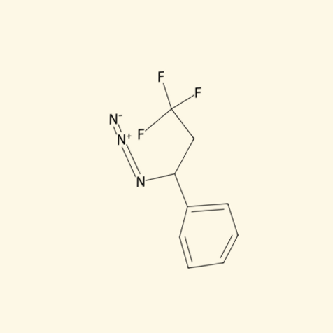 [N-]=[N+]=NC(CC(F)(F)F)c1ccccc1